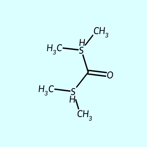 C[SH](C)C(=O)[SH](C)C